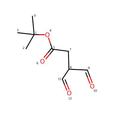 CC(C)(C)OC(=O)CC(C=O)C=O